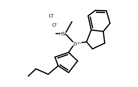 CCCC1=CC[C]([Zr+2]([CH]2CCC3CC=CC=C32)[SiH](C)C)=C1.[Cl-].[Cl-]